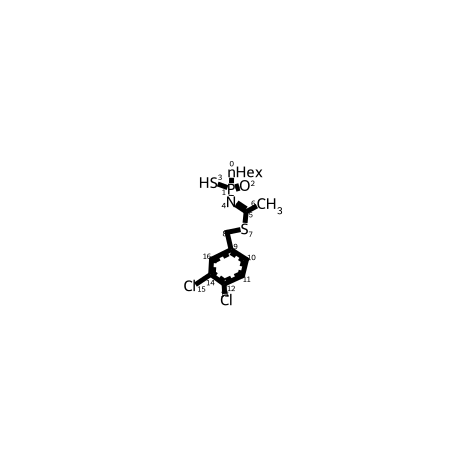 CCCCCCP(=O)(S)N=C(C)SCc1ccc(Cl)c(Cl)c1